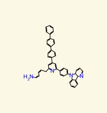 N/C=C\C=C/Cc1cc(-c2ccc(-c3ccc(-c4ccccc4)cc3)cc2)cc(-c2ccc(N3c4ccccc4C4N=CC=CC43)cc2)n1